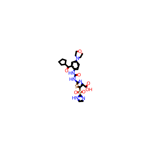 O=C(Nc1nc(C(=O)O)c(S(=O)(=O)c2ncc[nH]2)s1)Nc1ccc(N2CCOCC2)cc1C(=O)C1CCCC1